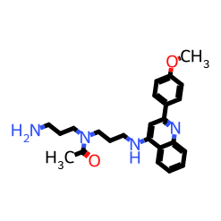 COc1ccc(-c2cc(NCCCN(CCCN)C(C)=O)c3ccccc3n2)cc1